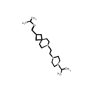 CC(C)OCC1CC2(CCN(CCN3CCN(C(C)C)CC3)CC2)C1